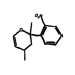 CC1C=COC(C)(c2ccncc2[N+](=O)[O-])C1